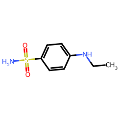 CCNc1ccc(S(N)(=O)=O)cc1